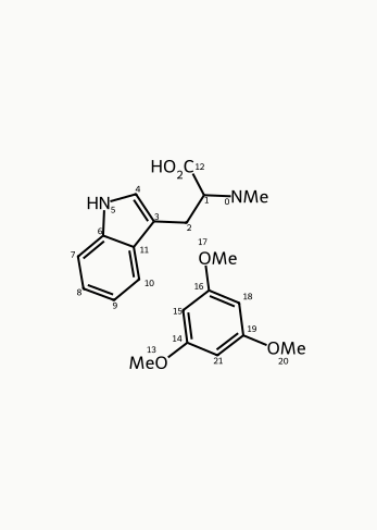 CNC(Cc1c[nH]c2ccccc12)C(=O)O.COc1cc(OC)cc(OC)c1